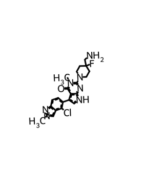 Cn1cc2c(Cl)c(-c3c[nH]c4nc(N5CCC(F)(CN)CC5)n(C)c(=O)c34)ccc2n1